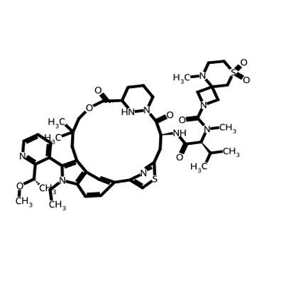 CCn1c(-c2cccnc2[C@H](C)OC)c2c3cc(ccc31)-c1csc(n1)C[C@H](NC(=O)[C@H](C(C)C)N(C)C(=O)N1CC3(C1)CS(=O)(=O)CCN3C)C(=O)N1CCC[C@](C=O)(COCC(C)(C)C2)N1